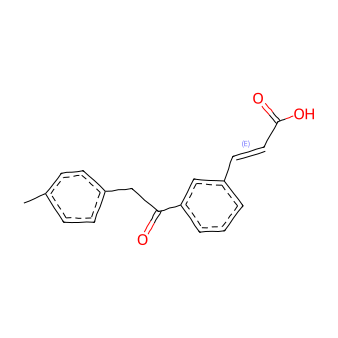 Cc1ccc(CC(=O)c2cccc(/C=C/C(=O)O)c2)cc1